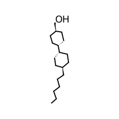 CCCCCC[C@H]1CC[C@H]([C@H]2CC[C@H](CO)CC2)CC1